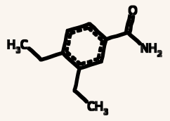 CCc1ccc(C(N)=O)cc1CC